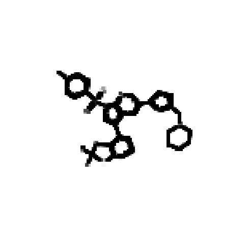 Cc1ccc(S(=O)(=O)n2cc(-c3cccc4c3OC(F)(F)O4)c3cc(-c4ccc(CN5CCCCC5)s4)cnc32)cc1